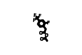 CC(=O)OC(=O)Cc1ccc(C(F)(F)F)cc1F